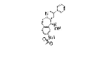 CS(=O)(=O)Nc1ccc2ccc3ncc(-c4ccccc4)cc3/c(=N/O)c2c1